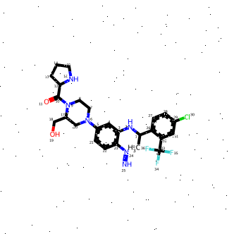 CC(Nc1cc(N2CCN(C(=O)C3CCCN3)C(CO)C2)ccc1N=N)c1ccc(Cl)cc1C(F)(F)F